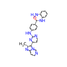 Cc1nc2ccncn2c1-c1ccnc(Nc2ccc(C(=O)Nc3ccccc3N)cc2)n1